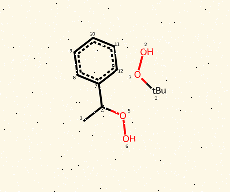 CC(C)(C)OO.CC(OO)c1ccccc1